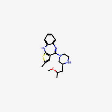 COC(C)C[C@H]1CN(C2=Nc3ccccc3Nc3sc(C)cc32)CCN1